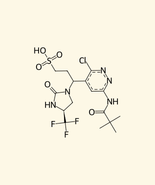 CC(C)(C)C(=O)Nc1cc(C(CCS(=O)(=O)O)N2C[C@@H](C(F)(F)F)NC2=O)c(Cl)nn1